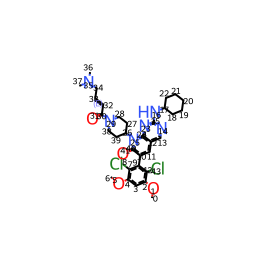 COc1cc(OC)c(Cl)c(-c2cc3cnc(NC4CCCCC4)nc3n(C3CCN(C(=O)/C=C/CN(C)C)CC3)c2=O)c1Cl